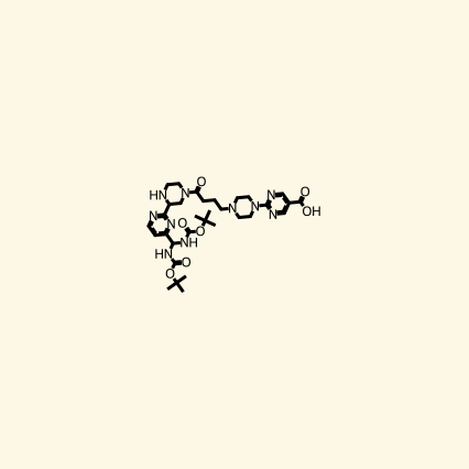 CC(C)(C)OC(=O)NC(NC(=O)OC(C)(C)C)c1ccnc(C2CN(C(=O)CCCN3CCN(c4ncc(C(=O)O)cn4)CC3)CCN2)n1